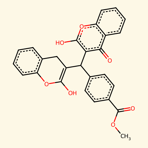 COC(=O)c1ccc(C(C2=C(O)Oc3ccccc3C2)c2c(O)oc3ccccc3c2=O)cc1